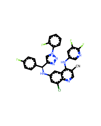 N#Cc1cnc2c(Cl)cc(N[C@@H](c3ccc(F)cc3)c3cn(-c4ccccc4F)nn3)cc2c1Nc1cnc(F)c(F)c1